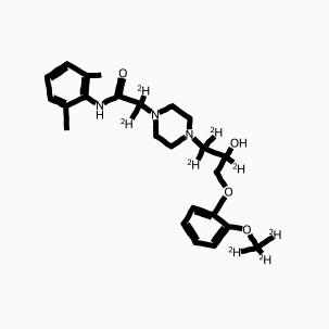 [2H]C([2H])([2H])Oc1ccccc1OCC([2H])(O)C([2H])([2H])N1CCN(C([2H])([2H])C(=O)Nc2c(C)cccc2C)CC1